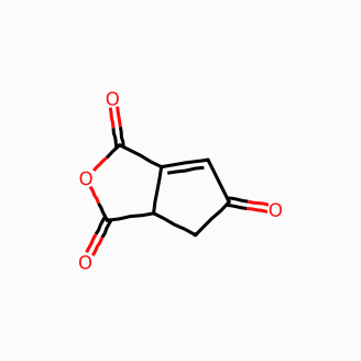 O=C1C=C2C(=O)OC(=O)C2C1